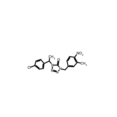 Cc1cc(Cn2nnn(C(C)c3ccc(Cl)cc3)c2=O)ccc1[N+](=O)[O-]